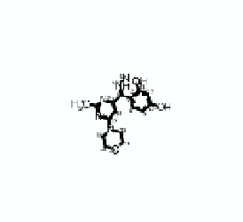 Cc1nc(C(=NN)c2ccc(O)cc2O)cc(N2CCOCC2)n1